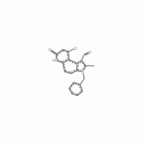 Cc1c(C=O)c2c3c(Cl)cc(=O)[nH]c3ccc2n1Cc1ccccc1